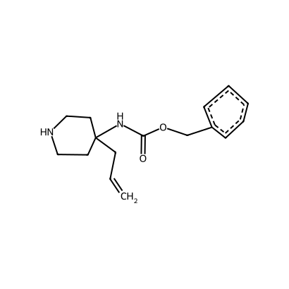 C=CCC1(NC(=O)OCc2ccccc2)CCNCC1